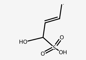 [CH2]C=CC(O)S(=O)(=O)O